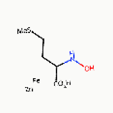 CSCCC(NO)C(=O)O.[Fe].[Zn]